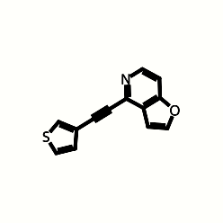 C(#Cc1nccc2occc12)c1ccsc1